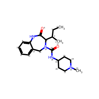 CCC(C)C1C(=O)Nc2ccccc2CN1C(=O)NC1CCN(C)CC1